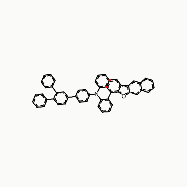 c1ccc(-c2ccc(-c3ccc(N(c4ccccc4)c4ccccc4-c4cccc5c4oc4cc6ccccc6cc45)cc3)cc2-c2ccccc2)cc1